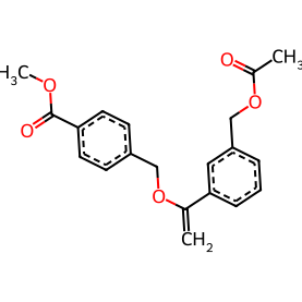 C=C(OCc1ccc(C(=O)OC)cc1)c1cccc(COC(C)=O)c1